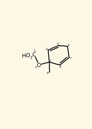 CC1(OC(=O)O)C=CCC=C1